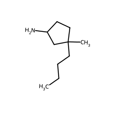 CCCCC1(C)CCC(N)C1